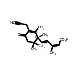 C#CCC1=C(C)[C@](C)(/C=C/C(C)=C\C(=O)O)C(C)(C)CC1=O